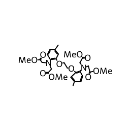 COC(=O)CN(CC(=O)OC)c1ccc(C)cc1OCCOc1cc(C)ccc1N(CC(=O)OC)CC(=O)OC